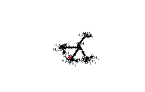 CC(=O)N[C@H]1[C@H](OCCOCCOCCOc2cc(C(=O)NCCCCCCOP(OCCC#N)N(C(C)C)C(C)C)cc(OCCOCCOCCO[C@@H]3O[C@H](COC(C)=O)[C@H](OC(C)=O)[C@H](OC(C)=O)[C@H]3NC(C)=O)c2OCCOCCOCCO[C@@H]2O[C@H](COC(C)=O)[C@H](OC(C)=O)[C@H](OC(C)=O)[C@H]2NC(C)=O)O[C@H](COC(C)=O)[C@H](OC(C)=O)[C@@H]1OC(C)=O